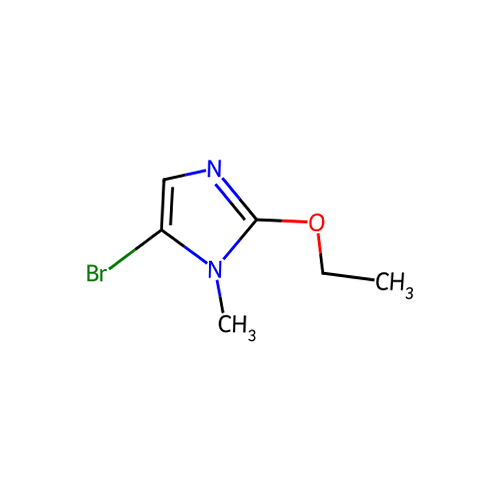 CCOc1ncc(Br)n1C